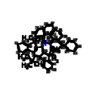 CC(C)(C)c1c2c(c(N(c3cccc4c3CCC=C4)c3ccc(-c4ccccc4)c4ccc#cc34)c3c1-c1ccccc1C3(C)C)C(C)(C)c1ccccc1-2